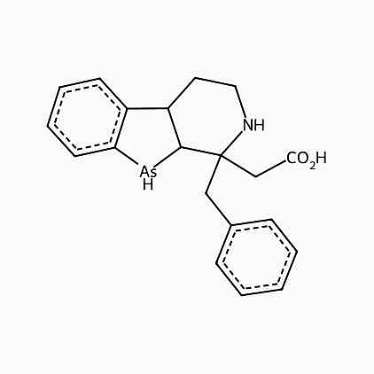 O=C(O)CC1(Cc2ccccc2)NCCC2c3ccccc3[AsH]C21